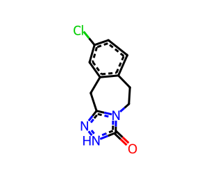 O=c1[nH]nc2n1CCc1ccc(Cl)cc1C2